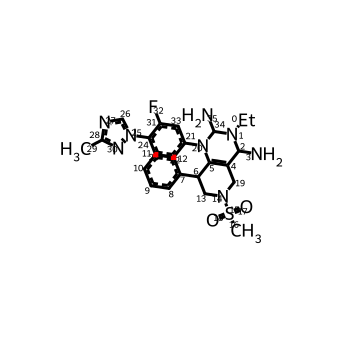 CCN1C(N)C2=C(C(c3ccccc3)CN(S(C)(=O)=O)C2)N(c2ccc(-n3cnc(C)n3)c(F)c2)C1N